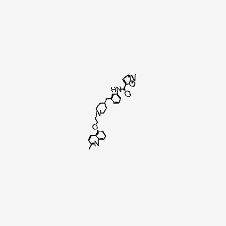 Cc1ccc2c(OCCN3CCC(Cc4cccc(NC(=O)c5ccno5)c4)CC3)cccc2n1